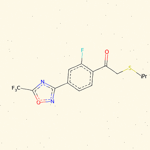 CC(C)SCC(=O)c1ccc(-c2noc(C(F)(F)F)n2)cc1F